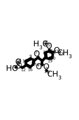 CCOC(=O)C(C(=O)c1ccc(CS(=O)O)cc1)c1ccc(OC)c(OC)c1